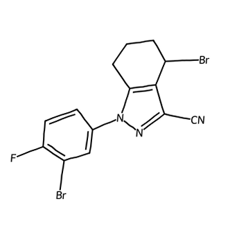 N#Cc1nn(-c2ccc(F)c(Br)c2)c2c1C(Br)CCC2